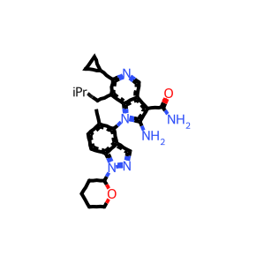 Cc1ccc2c(cnn2C2CCCCO2)c1-n1c(N)c(C(N)=O)c2cnc(C3CC3)c(CC(C)C)c21